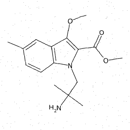 COC(=O)c1c(OC)c2cc(C)ccc2n1CC(C)(C)N